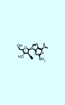 C#CC1C(n2cnc3c(N(C)C)nc(N)nc32)OC(CO)[C@H]1O